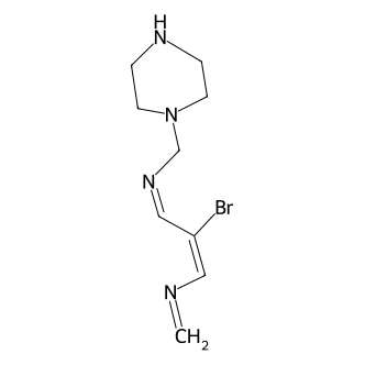 C=N/C=C(Br)\C=N/CN1CCNCC1